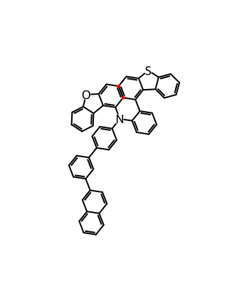 c1cc(-c2ccc(N(c3ccccc3-c3cccc4sc5ccccc5c34)c3cccc4oc5ccccc5c34)cc2)cc(-c2ccc3ccccc3c2)c1